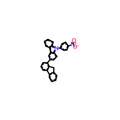 O=[N+]([O-])c1ccc(-n2c3ccccc3c3cc(-c4cccc5c4Cc4ccccc4-5)ccc32)cc1